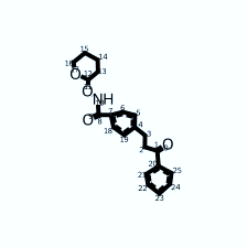 O=C(CCc1ccc(C(=O)NOC2CCCCO2)cc1)c1ccccc1